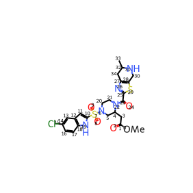 COC(=O)CC1CN(S(=O)(=O)c2cc3cc(Cl)ccc3[nH]2)CCN1C(=O)c1nc2c(s1)CNC(C)C2